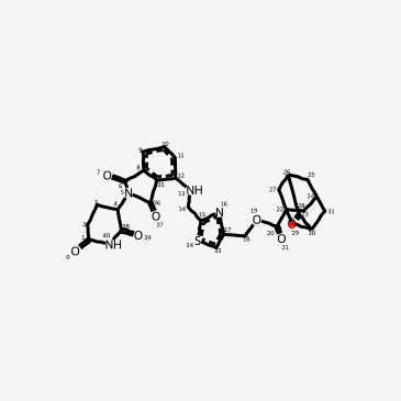 O=C1CCC(N2C(=O)c3cccc(NCc4nc(COC(=O)C56CC7CC(C5)C(=O)C(C7)C6)cs4)c3C2=O)C(=O)N1